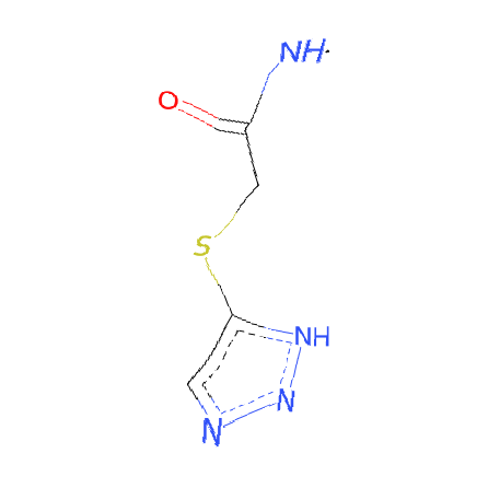 [NH]C(=O)CSc1cnn[nH]1